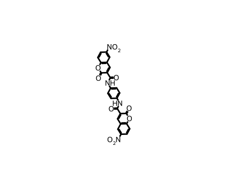 O=C(Nc1ccc(NC(=O)c2cc3cc([N+](=O)[O-])ccc3oc2=O)cc1)c1cc2cc([N+](=O)[O-])ccc2oc1=O